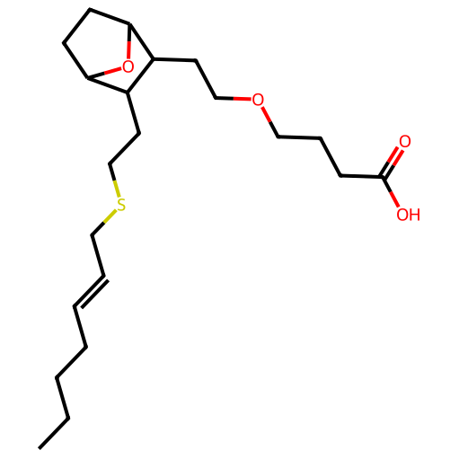 CCCCC=CCSCCC1C2CCC(O2)C1CCOCCCC(=O)O